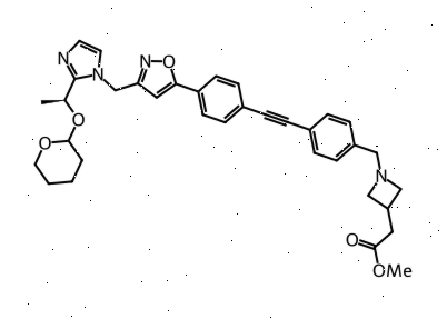 COC(=O)CC1CN(Cc2ccc(C#Cc3ccc(-c4cc(Cn5ccnc5[C@H](C)OC5CCCCO5)no4)cc3)cc2)C1